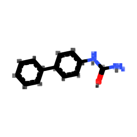 NC(=O)Nc1[c]cc(-c2ccccc2)cc1